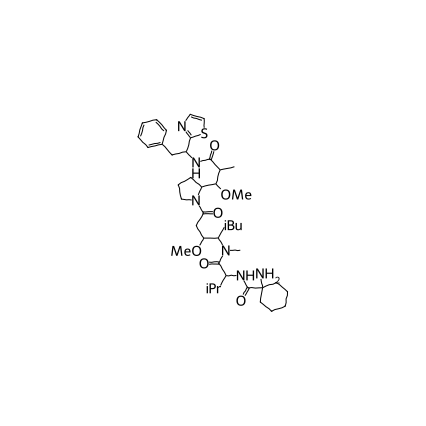 CCC(C)C(C(CC(=O)N1CCCC1C(OC)C(C)C(=O)NC(Cc1ccccc1)c1nccs1)OC)N(C)C(=O)C(NC(=O)C1(N)CCCCC1)C(C)C